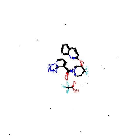 O=C(O)C(F)(F)F.O=C(c1cccn2nnnc12)N1CCC(F)(F)C(Oc2ccc3ccccc3n2)C1